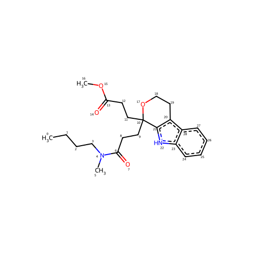 CCCCN(C)C(=O)CCC1(CCC(=O)OC)OCCc2c1[nH]c1ccccc21